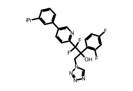 CC(C)c1cccc(-c2ccc(C(F)(F)C(O)(Cn3cnnn3)c3ccc(F)cc3F)nc2)c1